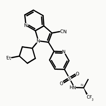 CCC1CCC(n2c(-c3ccc(S(=O)(=O)N[C@@H](C)C(F)(F)F)cn3)c(C#N)c3cccnc32)C1